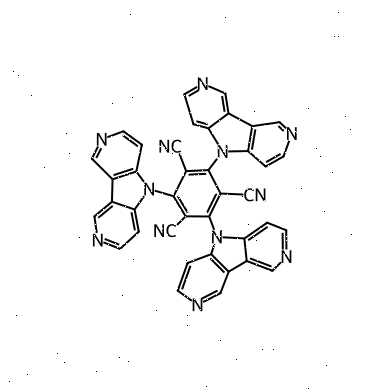 N#Cc1c(-n2c3ccncc3c3cnccc32)c(C#N)c(-n2c3ccncc3c3cnccc32)c(C#N)c1-n1c2ccncc2c2cnccc21